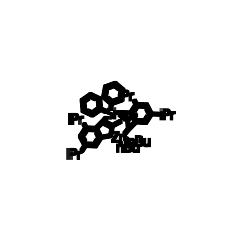 CCC[CH2][Zr]1([CH2]CCC)[CH]2C(C)=C(c3c(C(C)C)cc(C(C)C)cc32)[Si](c2ccccc2)(c2ccccc2)C2=C(C)[CH]1c1cc(C(C)C)cc(C(C)C)c12